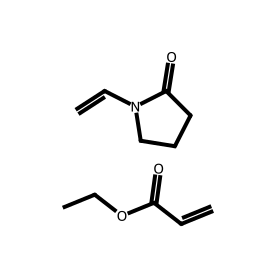 C=CC(=O)OCC.C=CN1CCCC1=O